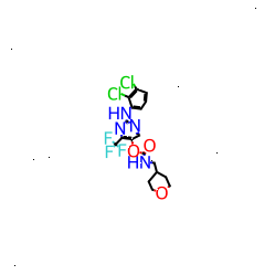 O=C(NCC1CCOCC1)Oc1cnc(Nc2cccc(Cl)c2Cl)nc1C(F)(F)F